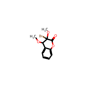 COC1c2ccccc2OC(=O)C1(Br)OC